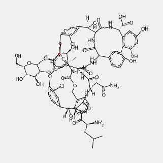 CC(C)C[C@H](N)C(=O)N[C@H]1C(=O)N[C@@H](CC(N)=O)C(=O)N[C@H]2C(=O)N[C@H]3C(=O)NC(C(=O)N[C@H](C(=O)O)c4cc(O)cc(O)c4-c4cc3ccc4O)[C@H](O)c3ccc(c(Cl)c3)Oc3cc2cc(c3OC2O[C@H](CO)[C@@H](O)[C@H](O)C2O[C@H]2C[C@](C)(NC(=O)OCc3ccccc3)[C@H](O)[C@H](C)O2)Oc2ccc(cc2Cl)[C@H]1O